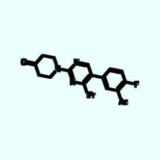 CC(=O)c1cc(-c2cnc(N3CCC(=O)CC3)nc2C(C)C)ccc1F